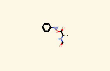 C[C@H](NC=O)C(=O)ONc1ccccc1